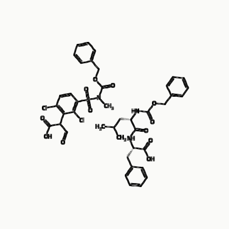 CC(C)C[C@H](NC(=O)OCc1ccccc1)C(=O)N[C@@H](Cc1ccccc1)C(=O)O.CN(C(=O)OCc1ccccc1)S(=O)(=O)c1ccc(Cl)c(C(C=O)C(=O)O)c1Cl